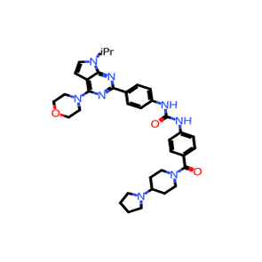 CC(C)n1ccc2c(N3CCOCC3)nc(-c3ccc(NC(=O)Nc4ccc(C(=O)N5CCC(N6CCCC6)CC5)cc4)cc3)nc21